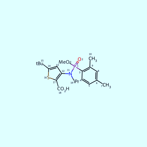 COP(=O)(c1ccc(C)cc1C)N(c1cc(C(C)(C)C)sc1C(=O)O)C(C)C